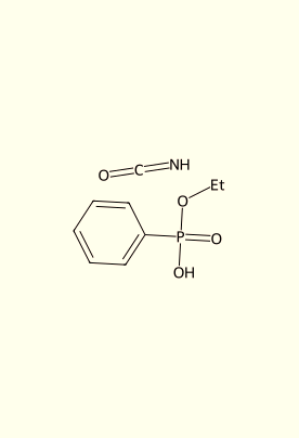 CCOP(=O)(O)c1ccccc1.N=C=O